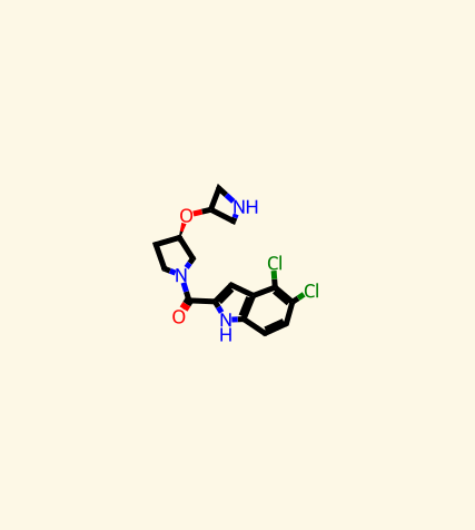 O=C(c1cc2c(Cl)c(Cl)ccc2[nH]1)N1CC[C@@H](OC2CNC2)C1